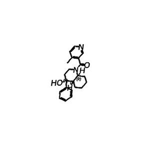 Cc1ccncc1C(=O)N1CC[C@](O)(c2ccccc2)[C@H]2CCCC[C@H]21